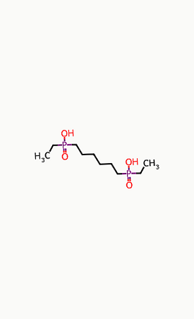 CCP(=O)(O)CCCCCCP(=O)(O)CC